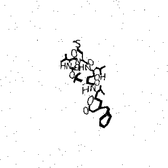 CSCC[C@H](NC(=O)[C@@H](NC(=O)OC(C)(C)C)C(C)C)C(=O)N[C@@H](CC(C)C)[C@@H](O)C[C@@H](C)C(=O)N[C@@H](C(C)C)C1CC(Cc2ccccc2)CC(=O)O1